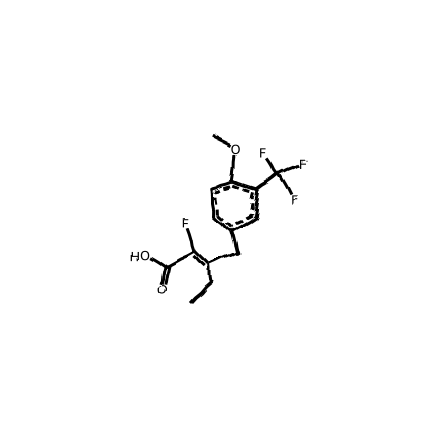 CCC(Cc1ccc(OC)c(C(F)(F)F)c1)=C(F)C(=O)O